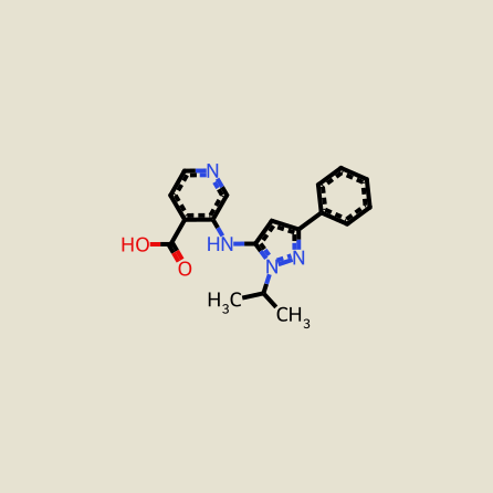 CC(C)n1nc(-c2ccccc2)cc1Nc1cnccc1C(=O)O